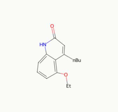 CCCCc1cc(=O)[nH]c2cccc(OCC)c12